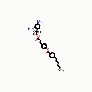 C=CCCCCC1CCC(C(=O)Oc2ccc(/C=C/C(=O)OCC(C)(C)c3ccc(N)cc3N)cc2)CC1